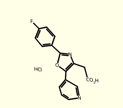 Cl.O=C(O)Cc1nc(-c2ccc(F)cc2)oc1-c1cccnc1